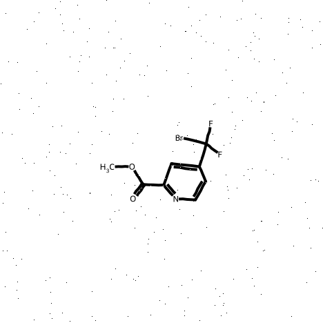 COC(=O)c1cc(C(F)(F)Br)ccn1